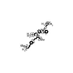 COC(=O)c1nc(N(CC2COC(C)(C)O2)c2cc(C)c(/N=c3\sc4ccccc4n3COCC[Si](C)(C)C)nn2)sc1CCCOc1ccc(C#CCN(C)C(=O)OC(C)(C)C)cc1F